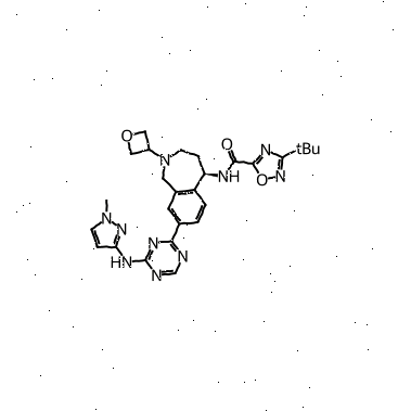 Cn1ccc(Nc2ncnc(-c3ccc4c(c3)CN(C3COC3)CC[C@H]4NC(=O)c3nc(C(C)(C)C)no3)n2)n1